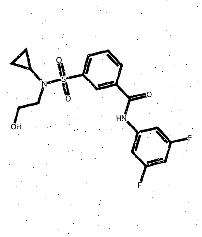 O=C(Nc1cc(F)cc(F)c1)c1cccc(S(=O)(=O)N(CCO)C2CC2)c1